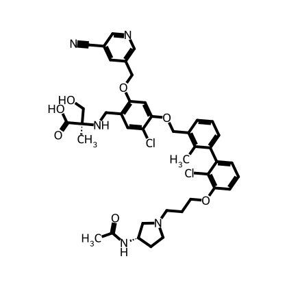 CC(=O)N[C@H]1CCN(CCCOc2cccc(-c3cccc(COc4cc(OCc5cncc(C#N)c5)c(CN[C@](C)(CO)C(=O)O)cc4Cl)c3C)c2Cl)C1